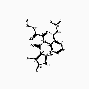 CCOC(=O)C(=O)N(C(=O)c1c(C)nn(C)c1F)c1ccccc1CCC(C)C